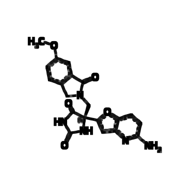 COc1ccc2c(c1)C(=O)N(C[C@@]1(c3cc4nc(N)ccc4o3)NC(=O)NC1=O)C2